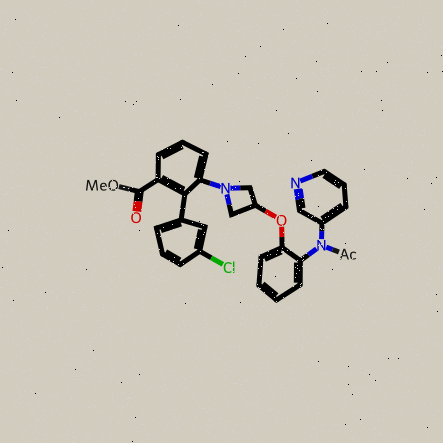 COC(=O)c1cccc(N2CC(Oc3ccccc3N(C(C)=O)c3cccnc3)C2)c1-c1cccc(Cl)c1